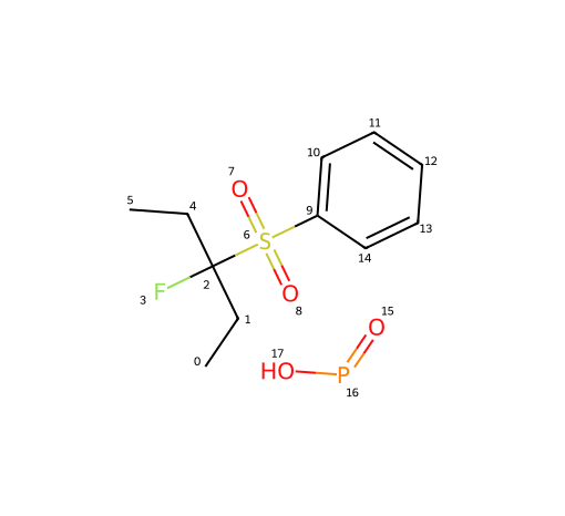 CCC(F)(CC)S(=O)(=O)c1ccccc1.O=PO